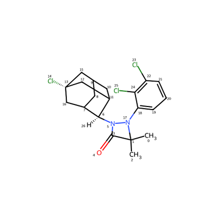 CC1(C)C(=O)N([C@H]2C3CC4CC2C[C@](Cl)(C4)C3)N1c1cccc(Cl)c1Cl